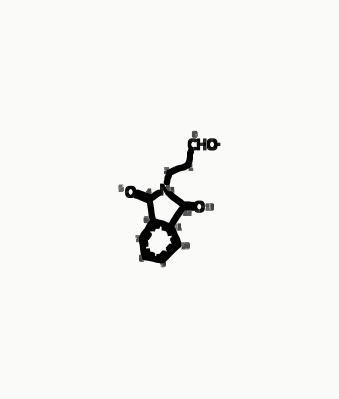 O=[C]CCN1C(=O)c2ccccc2C1=O